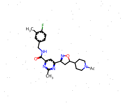 CC(=O)N1CCC(C2CC(c3cc(C(=O)NCc4ccc(F)c(C)c4)nc(C)n3)=NO2)CC1